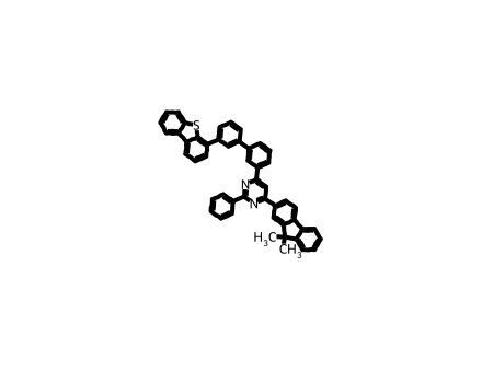 CC1(C)c2ccccc2-c2ccc(-c3cc(-c4cccc(-c5cccc(-c6cccc7c6sc6ccccc67)c5)c4)nc(-c4ccccc4)n3)cc21